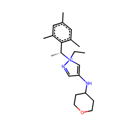 CC[N+]1([C@H](C)c2c(C)cc(C)cc2C)C=C(NC2CCOCC2)C=N1